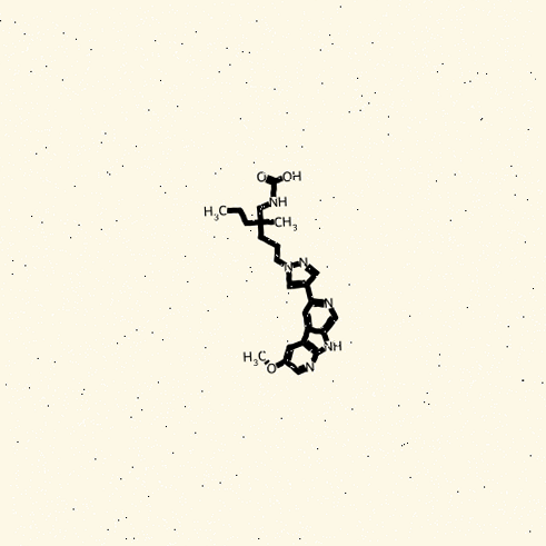 CCCC(C)(CCCn1cc(-c2cc3c(cn2)[nH]c2ncc(OC)cc23)cn1)CNC(=O)O